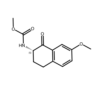 COC(=O)N[C@H]1CCc2ccc(OC)cc2C1=O